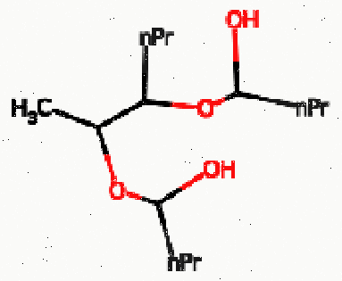 CCCC(O)OC(C)C(CCC)OC(O)CCC